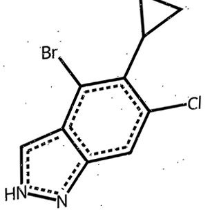 Clc1cc2n[nH]cc2c(Br)c1C1CC1